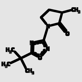 CC1CCN(c2noc(C(C)(C)C)n2)C1=O